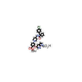 CC(C)(C)OC(=O)c1ccc(N2CCC(CN3C(=O)C4(CCCC4)C3c3ccc(Cl)cc3)CC2)cc1Oc1cnc2c(ccn2C(=O)O)c1